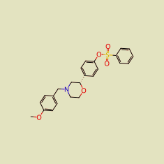 COc1ccc(CN2CCO[C@@H](c3ccc(OS(=O)(=O)c4ccccc4)cc3)C2)cc1